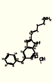 Cl.Cl.NCCCSc1nc2cc(Cc3ccccc3)ccc2[nH]1